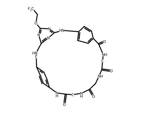 O=C1CNC(=O)CNC(=O)c2ccc(cc2)Nc2nc(nc(OCC(F)(F)F)n2)NCc2ccc(cc2)NC(=O)CN1